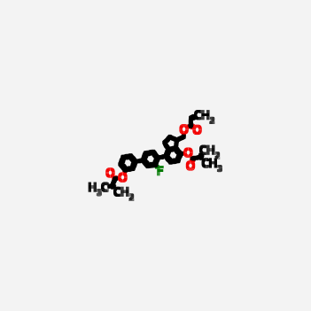 C=CC(=O)OCC1CCc2c(-c3ccc(-c4cccc(OC(=O)C(=C)C)c4)cc3F)ccc(OC(=O)C(=C)C)c21